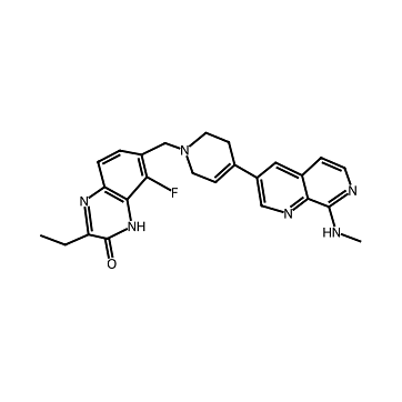 CCc1nc2ccc(CN3CC=C(c4cnc5c(NC)nccc5c4)CC3)c(F)c2[nH]c1=O